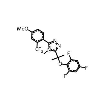 COc1ccc(-c2nnc(C(C)(C)Oc3c(F)cc(F)cc3F)n2C)c(C(F)(F)F)c1